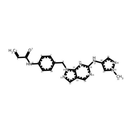 C=CC(=O)Nc1ccc(Cn2ncc3cnc(Nc4cnn(C)c4)nc32)cc1